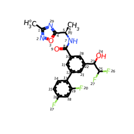 Cc1noc([C@@H](C)NC(=O)c2cc(-c3ccc(F)cc3F)cc(C(O)C(F)F)c2)n1